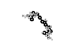 COC(=O)NC(C(=O)N1CCC[C@H]1c1ncc(-c2ccc(-c3ccc4c(c3)C(F)(F)c3cc(-c5cnc([C@@H]6CCCN6C(=O)[C@@H](NC(=O)OC)C6CCOCC6)[nH]5)ccc3-4)cc2)[nH]1)c1ccccc1